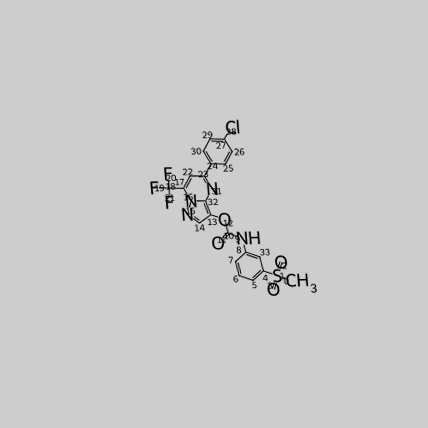 CS(=O)(=O)c1cccc(NC(=O)Oc2cnn3c(C(F)(F)F)cc(-c4ccc(Cl)cc4)nc23)c1